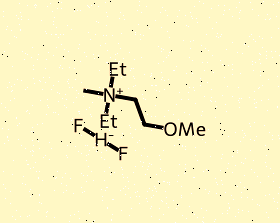 CC[N+](C)(CC)CCOC.F[H-]F